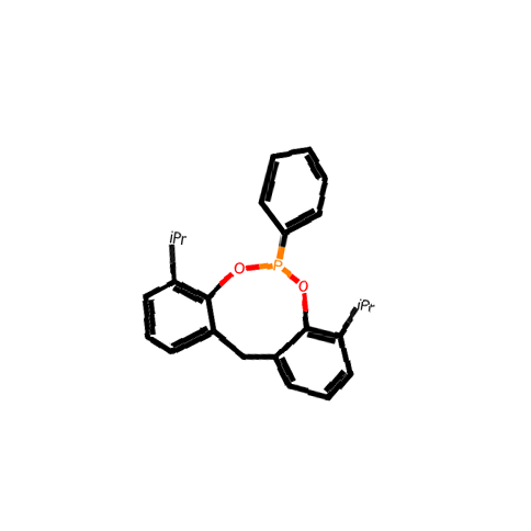 CC(C)c1cccc2c1OP(c1ccccc1)Oc1c(cccc1C(C)C)C2